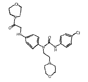 O=C(CNc1ccc(N(CCN2CCOCC2)C(=O)Nc2ccc(Cl)cc2)cc1)N1CCOCC1